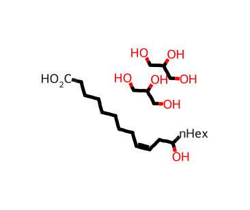 CCCCCCC(O)C/C=C\CCCCCCCC(=O)O.OCC(O)CO.OCC(O)CO